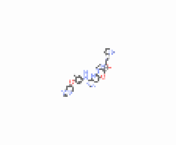 Cc1cc(Nc2ncnc3cc4c(nc23)N2CCN(C(=O)/C=C/[C@@H]3CCCN3C)[C@H](CO4)C2)ccc1Oc1ccn2ccnc2c1